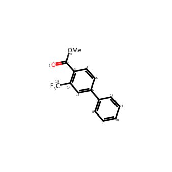 COC(=O)c1ccc(-c2ccccc2)cc1C(F)(F)F